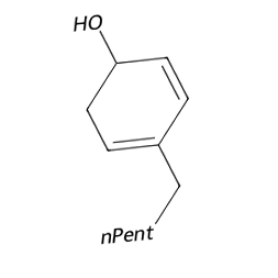 CCCCCCC1=CCC(O)C=C1